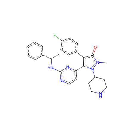 CC(Nc1nccc(-c2c(-c3ccc(F)cc3)c(=O)n(C)n2C2CCNCC2)n1)c1ccccc1